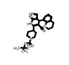 CC(C)(C)OC(=O)N1CCC(C2=C(C#N)C(c3cccc4c3OCCC4)c3c[nH]nc3N2)CC1